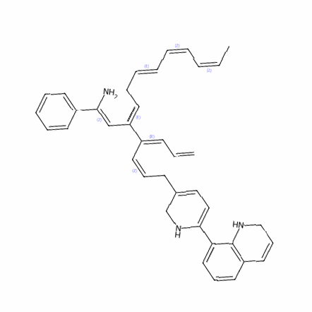 C=C/C=C(\C=C/CC1=CC=C(c2cccc3c2NCC=C3)NC1)C(/C=C(\N)c1ccccc1)=C/C/C=C/C=C\C=C/C